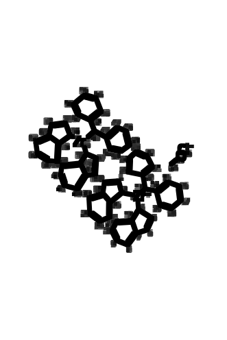 C1=C[CH]([Zr+]([CH]2C=Cc3ccccc32)[CH](c2ccccc2)c2ccccc2)c2ccccc21.C1=C[CH]([Zr+]([CH]2C=Cc3ccccc32)[CH](c2ccccc2)c2ccccc2)c2ccccc21.C[O-].[Cl-]